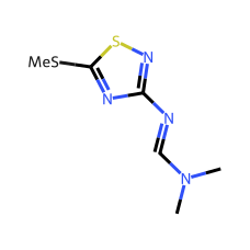 CSc1nc(N=CN(C)C)ns1